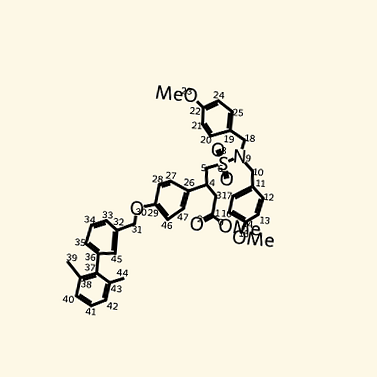 COC(=O)CC(CS(=O)(=O)N(Cc1ccc(OC)cc1)Cc1ccc(OC)cc1)c1ccc(OCc2cccc(-c3c(C)cccc3C)c2)cc1